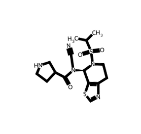 CC(C)S(=O)(=O)N1CCc2ncsc2[C@H]1N(C#N)C(=O)C1CCNC1